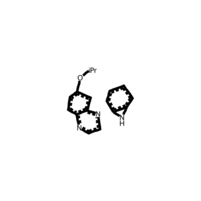 CC(C)Oc1ccc2nccnc2c1.c1ccc2c(c1)N2